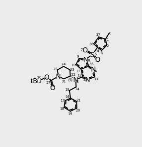 Cc1ccc(S(=O)(=O)n2ccc3c(N(CCc4ccccc4)[C@H]4CCCN(C(=O)OC(C)(C)C)C4)ncnc32)cc1